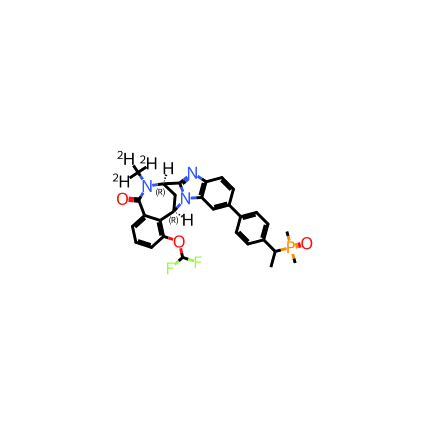 [2H]C([2H])([2H])N1C(=O)c2cccc(OC(F)F)c2[C@H]2C[C@@H]1c1nc3ccc(-c4ccc(C(C)P(C)(C)=O)cc4)cc3n12